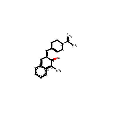 C=C(C)[C@H]1CC=C(C=C2C=c3ccccc3=C(C)C2=O)CC1